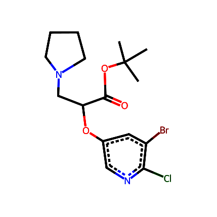 CC(C)(C)OC(=O)C(CN1CCCC1)Oc1cnc(Cl)c(Br)c1